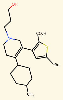 CC1CCC(C2=C(c3cc(C(C)(C)C)sc3C(=O)O)CN(CCCO)CC2)CC1